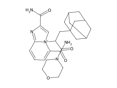 NC(=O)C1=C[N+]2(C(CC34CC5CC(CC(C5)C3)C4)C(=O)N3CCOCC3)C(C(N)=O)=CC=CC2=N1